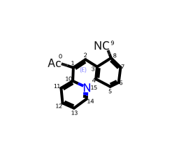 CC(=O)/C(=C/c1ccccc1C#N)c1ccccn1